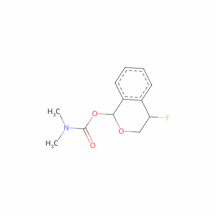 CN(C)C(=O)OC1OCC(F)c2ccccc21